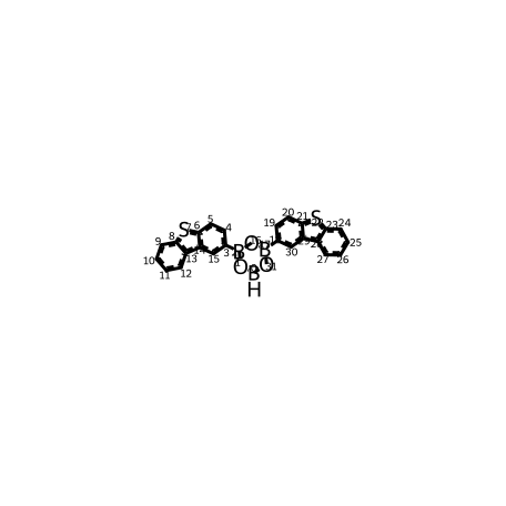 B1OB(c2ccc3sc4ccccc4c3c2)OB(c2ccc3sc4ccccc4c3c2)O1